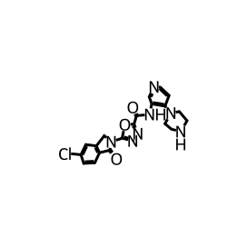 O=C(Nc1cnccc1N1CCNCC1)c1nnc(N2Cc3cc(Cl)ccc3C2=O)o1